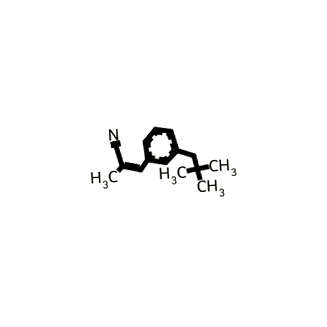 CC(C#N)=Cc1cccc(CC(C)(C)C)c1